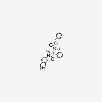 O=C(NCC(C(=O)Nc1ccc2cnccc2c1)c1ccccc1)OCc1ccccc1